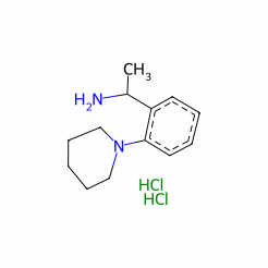 CC(N)c1ccccc1N1CCCCC1.Cl.Cl